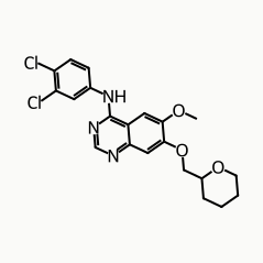 COc1cc2c(Nc3ccc(Cl)c(Cl)c3)ncnc2cc1OCC1CCCCO1